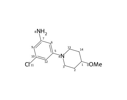 COC1CCN(c2cc(N)cc(Cl)c2)CC1